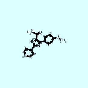 COc1ccc(-c2nc(-c3ccncc3)[nH]c2C(N)=O)cc1